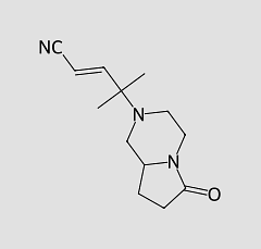 CC(C)(C=CC#N)N1CCN2C(=O)CCC2C1